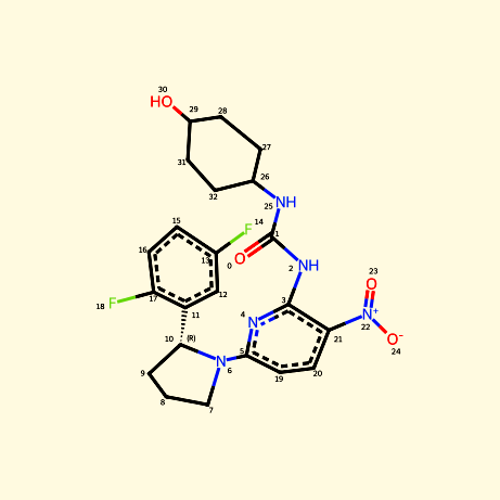 O=C(Nc1nc(N2CCC[C@@H]2c2cc(F)ccc2F)ccc1[N+](=O)[O-])NC1CCC(O)CC1